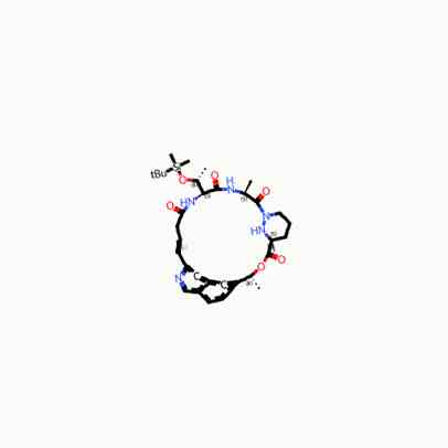 C[C@@H]1NC(=O)[C@H]([C@@H](C)O[Si](C)(C)C(C)(C)C)NC(=O)C/C=C/c2cc3cc(ccc3cn2)[C@@H](C)OC(=O)[C@@H]2CCCN(N2)C1=O